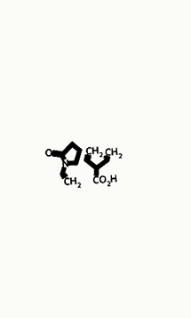 C=CC(C=C)C(=O)O.C=CN1CCCC1=O